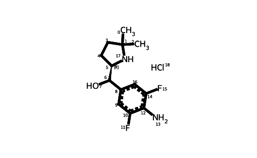 CC1(C)CC[C@H](C(O)c2cc(F)c(N)c(F)c2)N1.Cl